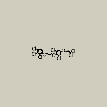 ClC(Cl)=CCOc1cc(Cl)c(OCCCOc2ccc(Cl)c(Cl)c2Cl)c(Cl)c1